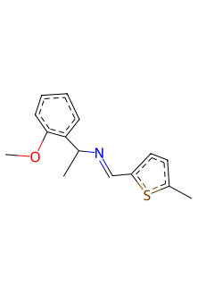 COc1ccccc1C(C)N=Cc1ccc(C)s1